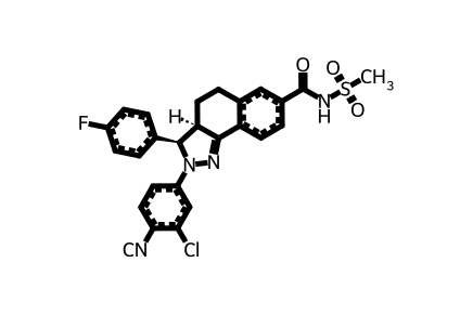 [C-]#[N+]c1ccc(N2N=C3c4ccc(C(=O)NS(C)(=O)=O)cc4CC[C@@H]3[C@@H]2c2ccc(F)cc2)cc1Cl